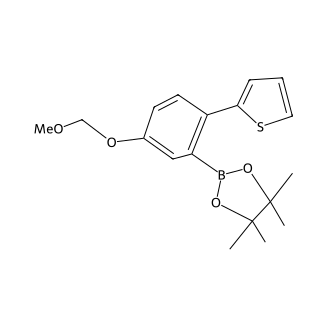 COCOc1ccc(-c2cccs2)c(B2OC(C)(C)C(C)(C)O2)c1